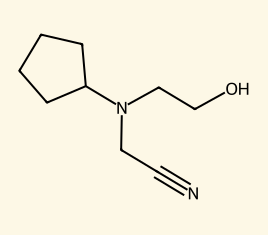 N#CCN(CCO)C1CCCC1